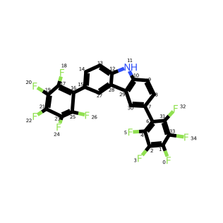 Fc1c(F)c(F)c(-c2ccc3[nH]c4ccc(-c5c(F)c(F)c(F)c(F)c5F)cc4c3c2)c(F)c1F